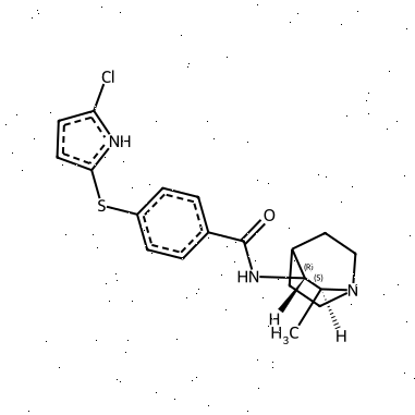 C[C@H]1[C@H](NC(=O)c2ccc(Sc3ccc(Cl)[nH]3)cc2)C2CCN1CC2